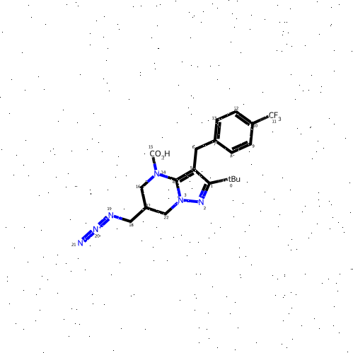 CC(C)(C)c1nn2c(c1Cc1ccc(C(F)(F)F)cc1)N(C(=O)O)CC(CN=[N+]=[N-])C2